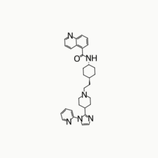 O=C(N[C@H]1CC[C@H](CCN2CCC(c3nccn3-c3ccccn3)CC2)CC1)c1cccc2ncccc12